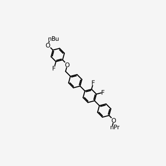 CCCCOc1ccc(OCc2ccc(-c3ccc(-c4ccc(OCCC)cc4)c(F)c3F)cc2)c(F)c1